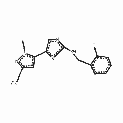 Cn1nc(C(F)(F)F)cc1-c1cnc(NCc2ccccc2F)s1